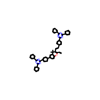 C=CC1=C(/C=C/c2ccc(-c3nc(-c4ccccc4)nc(-c4ccccc4)n3)cc2)C(C)(C)c2cc(-c3ccc(-c4nc(-c5ccccc5)nc(-c5ccccc5)n4)cc3)ccc2O1